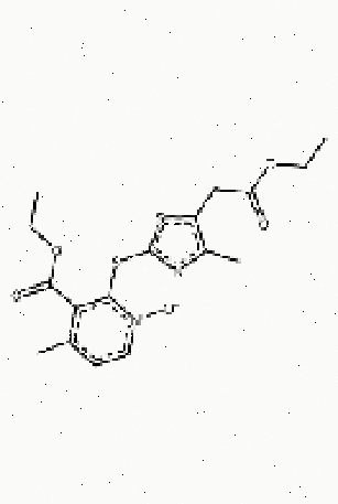 CCOC(=O)Cc1sc(Sc2c(C(=O)OCC)c(C)cc[n+]2[O-])nc1C